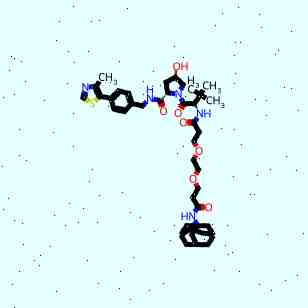 Cc1ncsc1-c1ccc(CNC(=O)[C@@H]2C[C@@H](O)CN2C(=O)[C@@H](NC(=O)CCOCCOCCC(=O)NC23CC4CC(CC(C4)C2)C3)C(C)(C)C)cc1